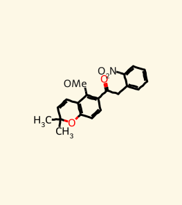 COc1c(C(=O)Cc2ccccc2[N+](=O)[O-])ccc2c1C=CC(C)(C)O2